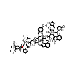 CC(C)C[C@H](NC(=O)[C@H](Cc1cc2ccccc2[nH]1)NC(=O)[C@H](Cc1ccc(O)cc1)NC(=O)[C@H](CO)NC(=O)[C@H](Cc1c[nH]c2ccccc12)NC(=O)[C@H](Cc1c[nH]cn1)NC(=O)[C@H]1CCC(=O)N1)C(=O)N[C@@H](CCCNC(=N)N)C(=O)N1CCC[C@H]1C(=O)NCC(N)=O